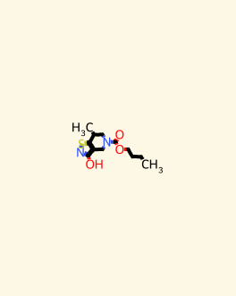 CCCCOC(=O)N1Cc2c(O)nsc2C(C)C1